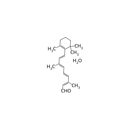 CC(C=CC=C(C)C=CC1=C(C)CCCC1(C)C)=CC=O.O